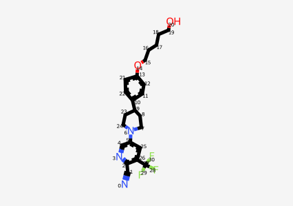 N#Cc1ncc(N2CCC(c3ccc(OCCCCCO)cc3)CC2)cc1C(F)(F)F